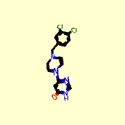 O=c1cc(N2CCN(Cc3ccc(Cl)c(Cl)c3)CC2)nc[nH]1